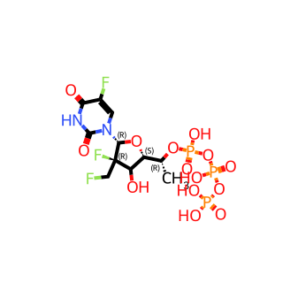 C[C@@H](OP(=O)(O)OP(=O)(O)OP(=O)(O)O)[C@H]1O[C@@H](n2cc(F)c(=O)[nH]c2=O)[C@@](F)(CF)C1O